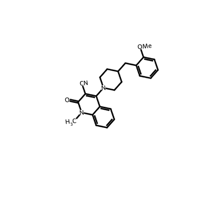 COc1ccccc1CC1CCN(c2c(C#N)c(=O)n(C)c3ccccc23)CC1